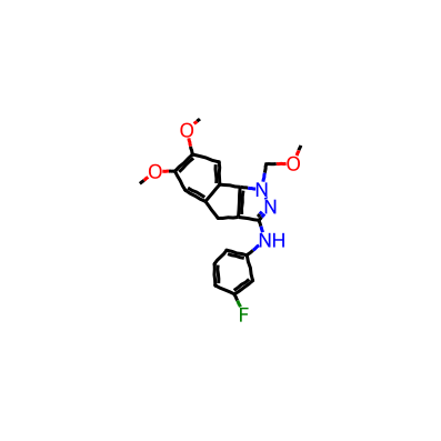 COCn1nc(Nc2cccc(F)c2)c2c1-c1cc(OC)c(OC)cc1C2